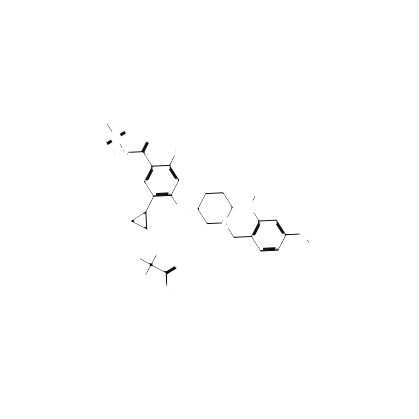 CCOc1ccc(CN2CCC[C@@H](Oc3cc(F)c(C(=O)NS(C)(=O)=O)cc3C3CC3)C2)c(OCC)c1.O=C(O)C(F)(F)F